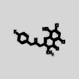 Cn1c(CNCc2ccc(F)cc2)nc2c(O)c(Cl)cc(Cl)c2c1=O